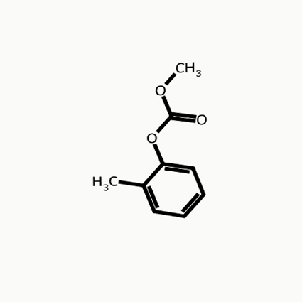 COC(=O)Oc1ccccc1C